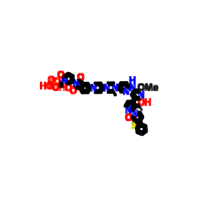 COc1ncc(-c2ccnc(N3CCc4c(sc5c4CCCC5)C3=O)c2[C@@H](C)O)cc1Nc1ccc(N2CCN(C3CCN(c4ccc5c(c4)C(=O)N([C@H]4CCC(=O)N(C(C)OP(=O)(O)O)C4=O)C5=O)CC3)C[C@@H]2C)cn1